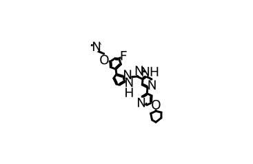 CN(C)CCOc1cc(F)cc(-c2cccc3[nH]c(-c4n[nH]c5cnc(-c6cncc(OC7CCCCC7)c6)cc45)nc23)c1